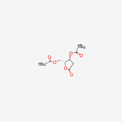 CC(C)(C)C(=O)OC[C@H]1OC(=O)C[C@@H]1OC(=O)C(C)(C)C